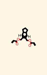 C=CC(=O)OCC1C(COC(=O)C=C)[C@H]2C[C@@H]1C1CCCC12